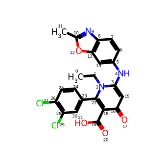 CCn1c(Nc2ccc3nc(C)oc3c2)cc(=O)c(C(=O)O)c1-c1ccc(Cl)c(Cl)c1